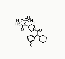 CC(C)(C)N(C(=O)O)C1CCN(C(=O)C(c2cccc(Cl)c2)C2CCCCC2)CC1